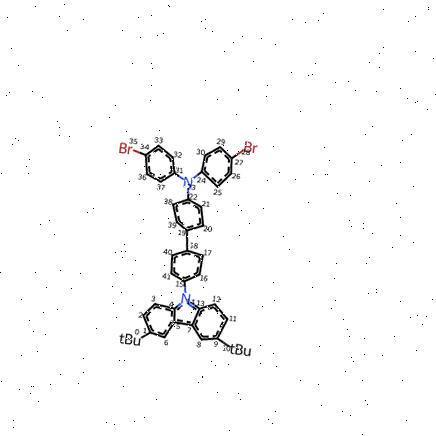 CC(C)(C)c1ccc2c(c1)c1cc(C(C)(C)C)ccc1n2-c1ccc(-c2ccc(N(c3ccc(Br)cc3)c3ccc(Br)cc3)cc2)cc1